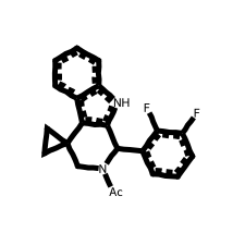 CC(=O)N1CC2(CC2)c2c([nH]c3ccccc23)C1c1cccc(F)c1F